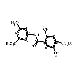 CCOC(=O)c1cc(C)cc(NC(=O)c2cc(O)c(C(=O)OCC)cc2O)c1